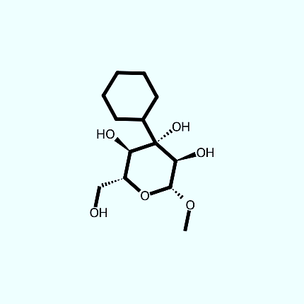 CO[C@@H]1O[C@H](CO)[C@@H](O)[C@@](O)(C2CCCCC2)[C@H]1O